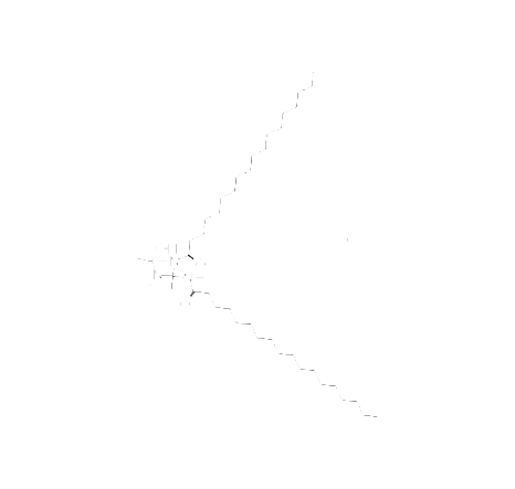 CCCCCCCCCCCCCCCCCC(=O)NC(C)(NC(=O)CCCCCCCCCCCCCCCCC)N(C)C(C)O.Cl